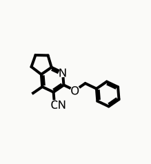 Cc1c(C#N)c(OCc2ccccc2)nc2c1CCC2